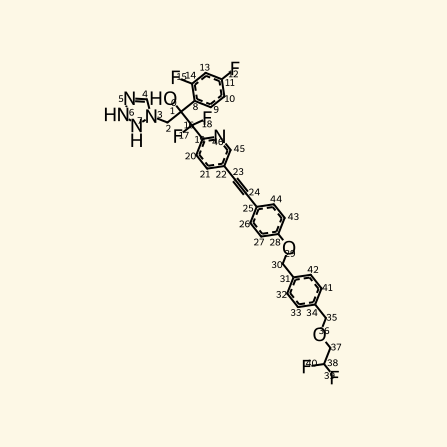 OC(CN1C=NNN1)(c1ccc(F)cc1F)C(F)(F)c1ccc(C#Cc2ccc(OCc3ccc(COCC(F)F)cc3)cc2)cn1